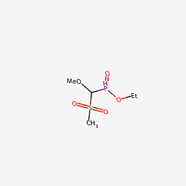 CCO[PH](=O)C(OC)S(C)(=O)=O